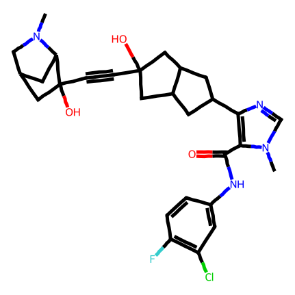 CN1CC2CC1C(O)(C#CC1(O)CC3CC(c4ncn(C)c4C(=O)Nc4ccc(F)c(Cl)c4)CC3C1)C2